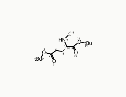 CC(C)(C)OC(=O)CC[C@H](NCl)C(=O)OC(C)(C)C